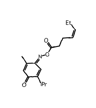 CC/C=C\CCC(=O)O/N=C1\C=C(C(C)C)C(=O)C=C1C